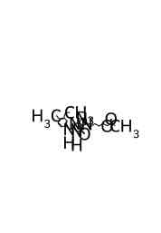 CCc1cc(Nc2nc3ncn(CCCCOC(C)=O)c3c(=O)[nH]2)ccc1C